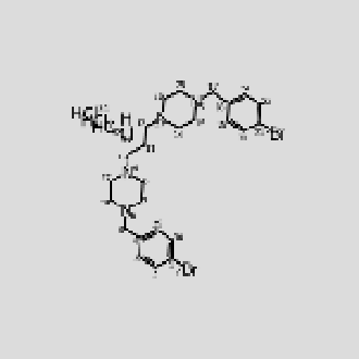 Brc1ccc(CN2CCN(CCCN3CCN(Cc4ccc(Br)cc4)CC3)CC2)cc1.Cl.Cl.Cl.Cl